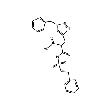 O=C(O)C(Cc1cn(Cc2ccccc2)nn1)C(=O)NS(=O)(=O)C=Cc1ccccc1